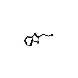 [O]CCc1nc2ccccc2o1